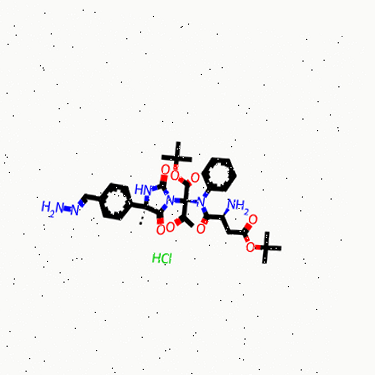 CC(=O)[C@@](C(=O)OC(C)(C)C)(N1C(=O)N[C@](C)(c2ccc(C=NN)cc2)C1=O)N(C(=O)[C@@H](N)CC(=O)OC(C)(C)C)c1ccccc1.Cl